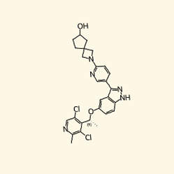 Cc1ncc(Cl)c([C@@H](C)Oc2ccc3[nH]nc(-c4ccc(N5CC6(CCC(O)C6)C5)nc4)c3c2)c1Cl